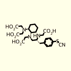 N#CSc1ccc(C[C@H](CN(CC(=O)O)[C@H]2CCCC[C@@H]2N(CC(=O)O)CC(=O)O)NCC(=O)O)cc1